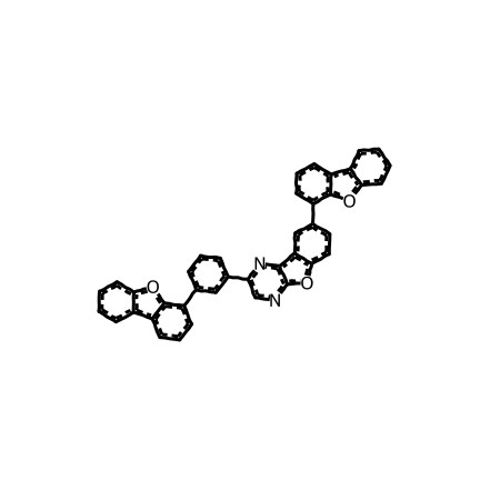 c1cc(-c2cnc3oc4ccc(-c5cccc6c5oc5ccccc56)cc4c3n2)cc(-c2cccc3c2oc2ccccc23)c1